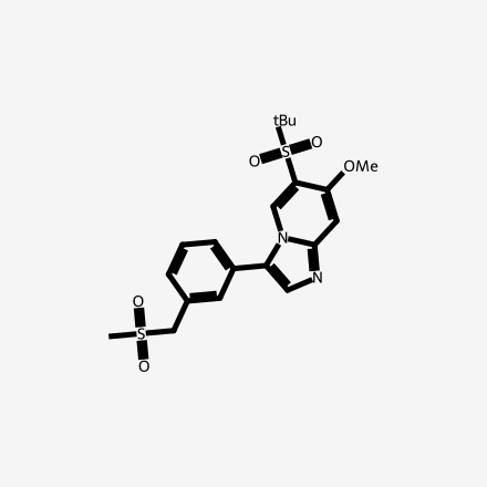 COc1cc2ncc(-c3cccc(CS(C)(=O)=O)c3)n2cc1S(=O)(=O)C(C)(C)C